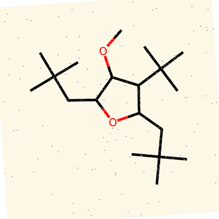 COC1C(CC(C)(C)C)OC(CC(C)(C)C)C1C(C)(C)C